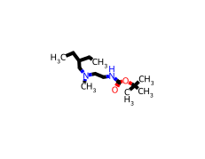 CCC(CC)CN(C)CCNC(=O)OC(C)(C)C